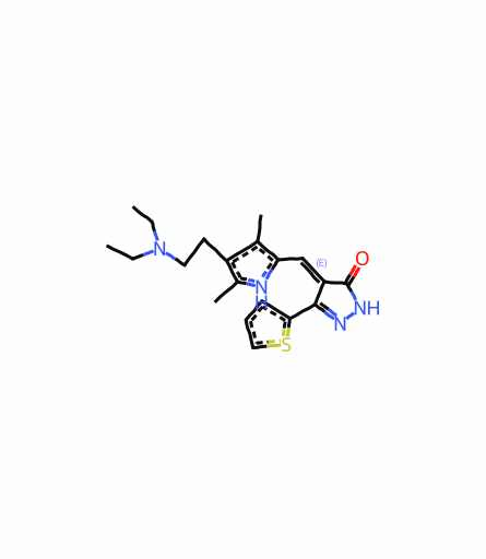 CCN(CC)CCc1c(C)[nH]c(/C=C2/C(=O)NN=C2c2cccs2)c1C